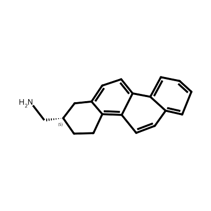 NC[C@H]1CCc2c(ccc3c2ccc2ccccc23)C1